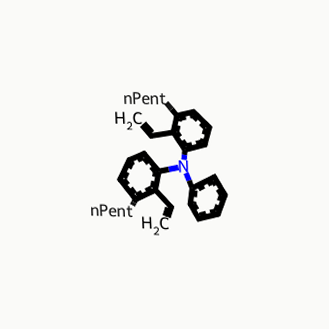 C=Cc1c(CCCCC)cccc1N(c1ccccc1)c1cccc(CCCCC)c1C=C